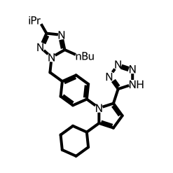 CCCCc1nc(C(C)C)nn1Cc1ccc(-n2c(-c3nnn[nH]3)ccc2C2CCCCC2)cc1